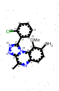 Bc1ccc2nc(C)c3nnc(-c4ccccc4Cl)n3c2c1OC